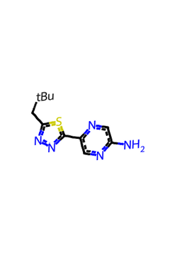 CC(C)(C)Cc1nnc(-c2cnc(N)cn2)s1